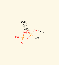 CC(=O)OP(=O)(O)OP(=O)(O)O.[CaH2].[CaH2].[CaH2].[CaH2]